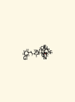 OC(Cn1ccc(C=Cc2cccc(Cl)c2)c1)(Cn1cncn1)c1ccc(F)cc1F